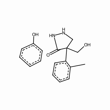 Cc1ccccc1C1(CO)CNNC1=O.Oc1ccccc1